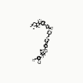 CC1(C)[C@H](NC(=O)c2ccc(N3CCN(CCC4CCN(C(=O)C5CCN(c6ccc7nnn(C8CCC(=O)NC8=O)c(=O)c7c6)CC5)CC4)CC3)cc2)C(C)(C)[C@H]1Oc1ccc(C#N)c(Cl)c1